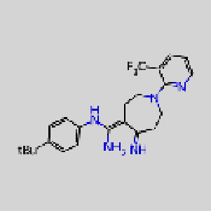 CC(C)(C)c1ccc(N/C(N)=C2\CCN(c3ncccc3C(F)(F)F)CCC2=N)cc1